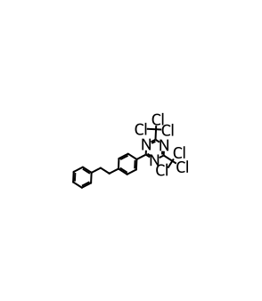 ClC(Cl)(Cl)c1nc(-c2ccc(CCc3ccccc3)cc2)nc(C(Cl)(Cl)Cl)n1